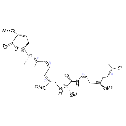 COC1=CC[C@@H]([C@@H](C)/C=C(C)/C=C\C=C(\C=O)CN[C@H](C(=O)N/C=C\C[C@@H](C/C=C(\C)Cl)OC)C(C)(C)C)OC1=O